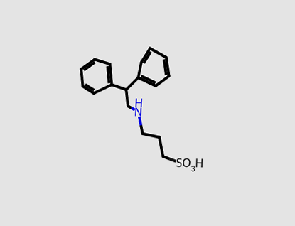 O=S(=O)(O)CCCNCC(c1ccccc1)c1ccccc1